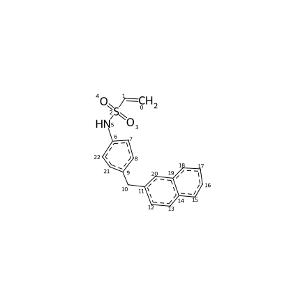 C=CS(=O)(=O)Nc1ccc(Cc2ccc3ccccc3c2)cc1